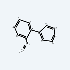 O=Pc1ccccc1-c1ccccc1